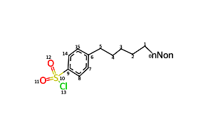 CCCCCCCCCCCCCCc1ccc(S(=O)(=O)Cl)cc1